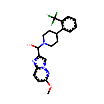 COc1ccc2nc(C(O)N3CCC(c4ccccc4C(F)(F)F)CC3)cn2n1